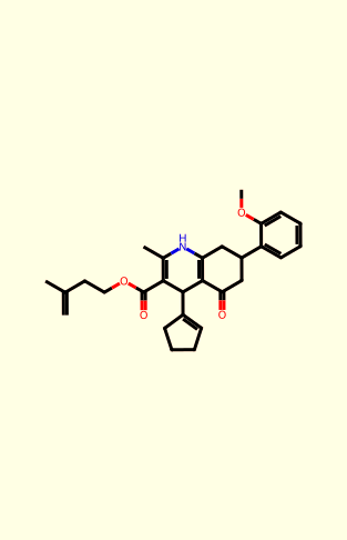 C=C(C)CCOC(=O)C1=C(C)NC2=C(C(=O)CC(c3ccccc3OC)C2)C1C1=CCCC1